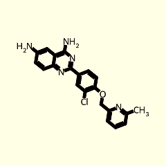 Cc1cccc(COc2ccc(-c3nc(N)c4cc(N)ccc4n3)cc2Cl)n1